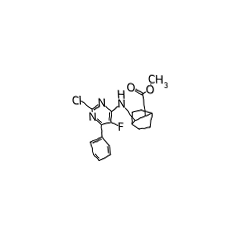 COC(=O)C1C2CCC(CC2)C1Nc1nc(Cl)nc(-c2ccccc2)c1F